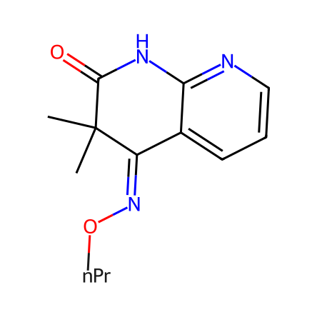 CCCON=C1c2cccnc2NC(=O)C1(C)C